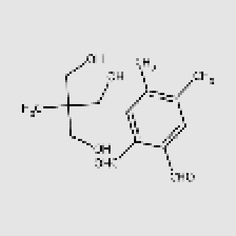 CC(CO)(CO)CO.Cc1cc(C=O)c(C=O)cc1C